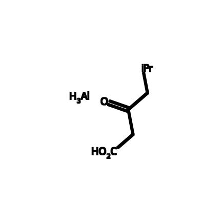 CC(C)CC(=O)CC(=O)O.[AlH3]